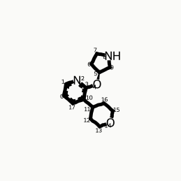 c1cnc(O[C@H]2CCNC2)c(C2CCOCC2)c1